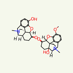 CN1CC[C@]23c4c5ccc(O)c4O[C@H]2C(=O)CC[C@H]3[C@H]1C5.COc1ccc2c3c1O[C@H]1C(=O)CC[C@@]4(O)[C@@H](C2)N(C)CC[C@]314